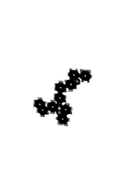 c1ccc(-c2cccc3c2oc2ccc(-c4cccc(-c5ccc(N(c6ccc(-c7cccc8ccccc78)cc6)c6cccc7c6oc6ccccc67)cc5)c4)cc23)cc1